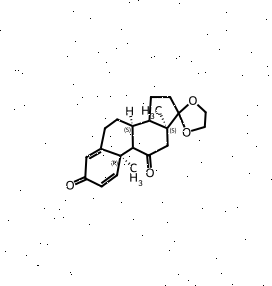 C[C@]12C=CC(=O)C=C1CC[C@@H]1C2C(=O)C[C@@]2(C)C1CCC21OCCO1